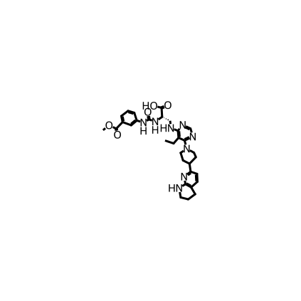 CCc1c(NC[C@H](NC(=O)Nc2cccc(C(=O)OC)c2)C(=O)O)ncnc1N1CCC(c2ccc3c(n2)NCCC3)CC1